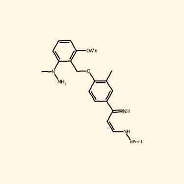 CCCCCN/C=C\C(=N)c1ccc(OCc2c(OC)cccc2N(C)N)c(C)c1